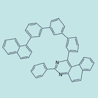 c1ccc(-c2nc(-c3cccc(-c4cccc(-c5cccc(-c6cccc7ccccc67)c5)c4)c3)c3c(ccc4ccccc43)n2)cc1